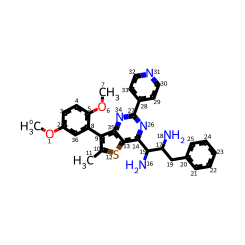 COc1ccc(OC)c(-c2c(C)sc3c(C(N)C(N)Cc4ccccc4)nc(-c4ccncc4)nc23)c1